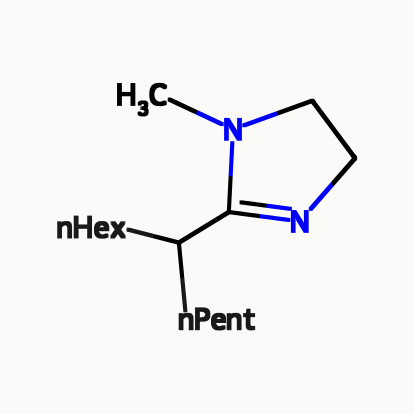 CCCCCCC(CCCCC)C1=NCCN1C